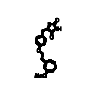 COC1=CCC=CC(CCOc2ccc(CC3SC(=O)NC3=O)cc2)=C1